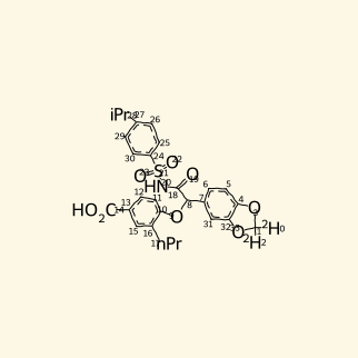 [2H]C1([2H])Oc2ccc(C(Oc3ccc(C(=O)O)cc3CCC)C(=O)NS(=O)(=O)c3ccc(C(C)C)cc3)cc2O1